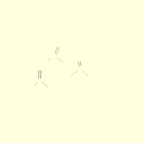 [O]=[Sn]([O-])[O-].[O]=[Ti]([O-])[O-].[O]=[Zr]([O-])[O-].[Pb+2].[Pb+2].[Pb+2]